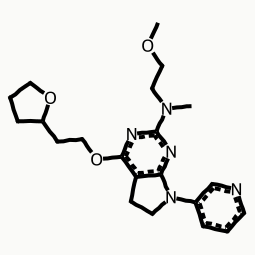 COCCN(C)c1nc(OCCC2CCCO2)c2c(n1)N(c1cccnc1)CC2